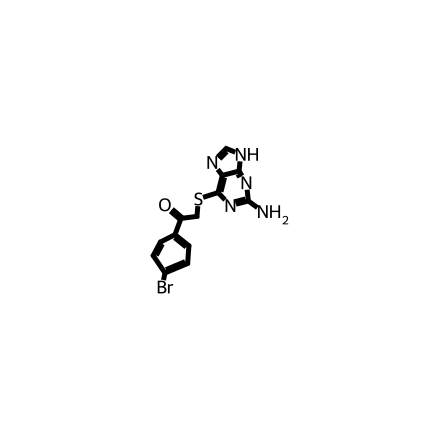 Nc1nc(SCC(=O)c2ccc(Br)cc2)c2nc[nH]c2n1